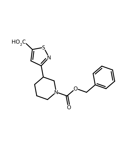 O=C(O)c1cc(C2CCCN(C(=O)OCc3ccccc3)C2)ns1